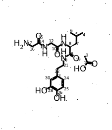 CC(=O)O.CC(C)C[C@H](NC(=O)CNC(=O)CN)C(=O)NCCc1ccc(O)c(O)c1